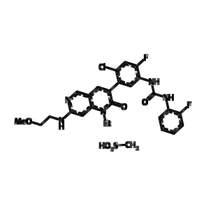 CCn1c(=O)c(-c2cc(NC(=O)Nc3ccccc3F)c(F)cc2Cl)cc2cnc(NCCOC)cc21.CS(=O)(=O)O